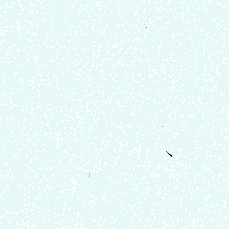 Cc1cc2c(NC(=O)N[C@@H](C)c3ccc(N4CCCCCC4)cc3)cccc2cn1